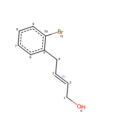 OC/C=C/Cc1ccccc1Br